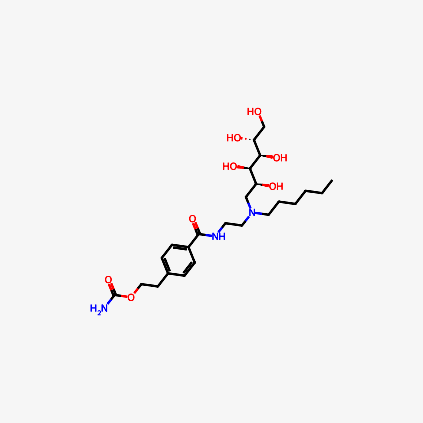 CCCCCCN(CCNC(=O)c1ccc(CCOC(N)=O)cc1)C[C@H](O)[C@@H](O)[C@H](O)[C@H](O)CO